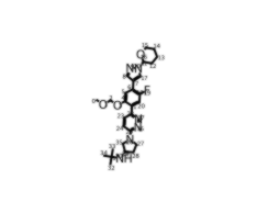 COCOc1cc(-c2cnn(C3CCCCO3)c2)c(F)cc1-c1ccc(N2CC[C@H](NC(C)(C)C)C2)nn1